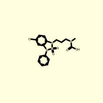 CN(CCCN1c2ccc(Cl)cc2N(c2ccccc2)S1(=O)=O)C(=O)O